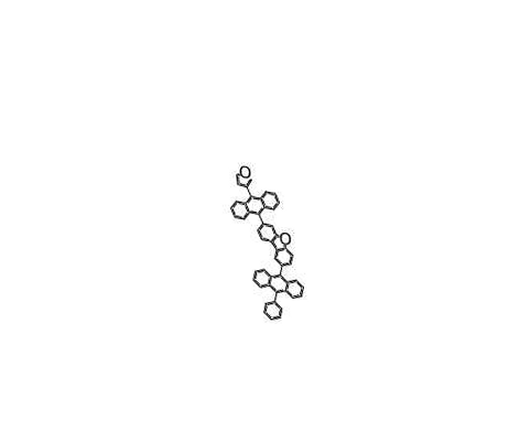 c1ccc(-c2c3ccccc3c(-c3ccc4oc5cc(-c6c7ccccc7c(-c7ccoc7)c7ccccc67)ccc5c4c3)c3ccccc23)cc1